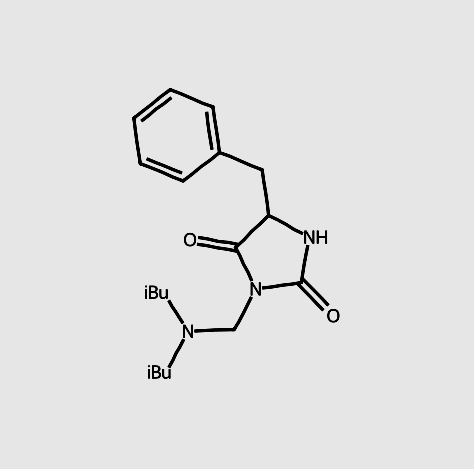 CCC(C)N(CN1C(=O)NC(Cc2ccccc2)C1=O)C(C)CC